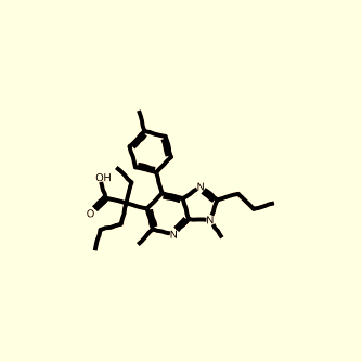 CCCc1nc2c(-c3ccc(C)cc3)c(C(CC)(CCC)C(=O)O)c(C)nc2n1C